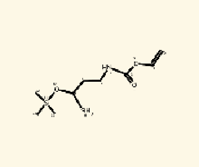 C=COC(=O)NCCC([SiH3])O[Si](C)(C)C